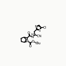 CC(C)(C)OC(=O)N1C2CCC(C2)C1C(=O)NC(C#N)Cc1ncc(Cl)s1